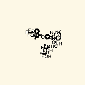 Cc1cc(COc2ccc(C(=O)N[C@@H]3CN(C[C@H](C)N)CC[C@@H]3C(=O)NO)cc2)c2ccccc2n1.O=C(O)C(F)(F)F.O=C(O)C(F)(F)F.O=C(O)C(F)(F)F